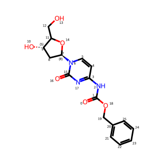 O=C(Nc1ccn([C@H]2C[C@H](O)C(CO)O2)c(=O)n1)OCc1ccccc1